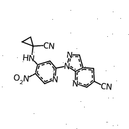 N#Cc1cnc2c(cnn2-c2cc(NC3(C#N)CC3)c([N+](=O)[O-])cn2)c1